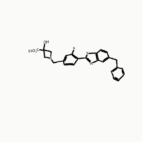 CCOC(=O)C1(O)CN(Cc2ccc(-c3nc4cc(Cc5ccccc5)ccc4s3)c(F)c2)C1